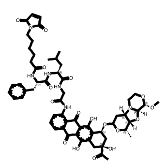 CO[C@H]1OCCN2[C@@H]1O[C@@H]1[C@H](C)OC(O[C@H]3C[C@](O)(C(C)=O)Cc4c(O)c5c(c(O)c43)C(=O)c3c(NC(=O)CNC(=O)[C@H](CC(C)C)NC(=O)[C@H](Cc4ccccc4)NC(=O)CCCCCN4C(=O)C=CC4=O)cccc3C5=O)C[C@@H]12